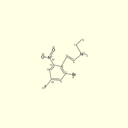 CCN(C)/C=C/c1c(Br)cc(F)cc1[N+](=O)[O-]